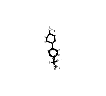 CC1CCC(c2ccc(C(N)(F)F)cc2)CC1